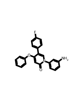 Nc1cccc(-n2cc(-c3ccc(F)cc3)c(Oc3ccccc3)cc2=O)c1